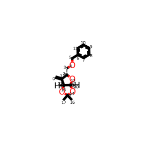 C=C1[C@H](COCc2ccccc2)O[C@@H]2OC(C)(C)O[C@H]12